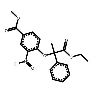 CCOC(=O)C(C)(Oc1ccc(C(=O)OC)cc1[N+](=O)[O-])c1ccccc1